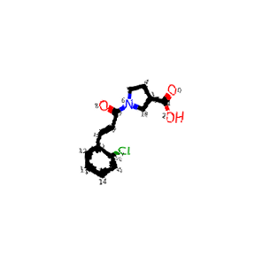 O=C(O)C1CCN(C(=O)C=Cc2ccccc2Cl)C1